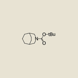 CC(C)(C)OC(=O)N1CC2CCCC(CC2)C1